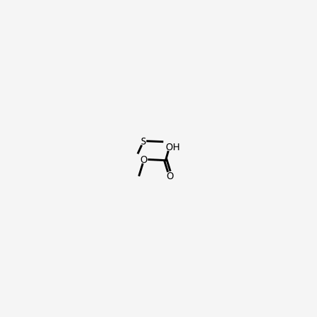 COC(=O)O.CSC